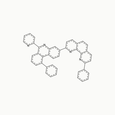 c1ccc(-c2ccc3ccc4ccc(-c5ccc6c(c5)nc(-c5ccccn5)c5cccc(-c7ccccc7)c56)nc4c3n2)cc1